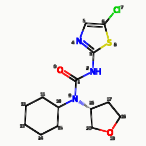 O=C(Nc1ncc(Cl)s1)N(C1CCCCC1)[C@@H]1CCOC1